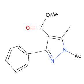 COC(=O)c1c(-c2ccccc2)nn(C(C)=O)c1C